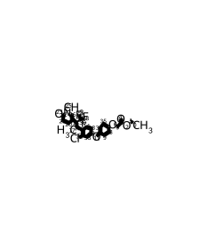 CCOC(=O)COc1ccc(Oc2ccc([C@@H](C)[C@@H](c3ccc(=O)n(C)c3)C(F)(F)F)c(Cl)c2)cc1